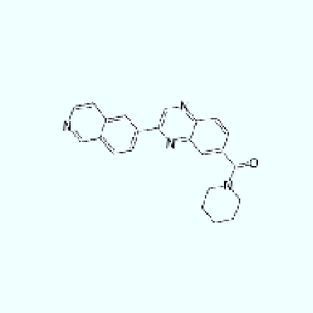 O=C(c1ccc2ncc(-c3ccc4cnccc4c3)nc2c1)N1CCCCC1